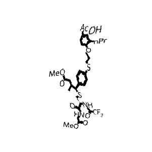 CCCc1c(OCCCSc2ccc(C(SC[C@H](NC(=O)C(F)(F)F)C(=O)NCC(=O)OC)C(C)CC(=O)OC)cc2)ccc(C(C)=O)c1O